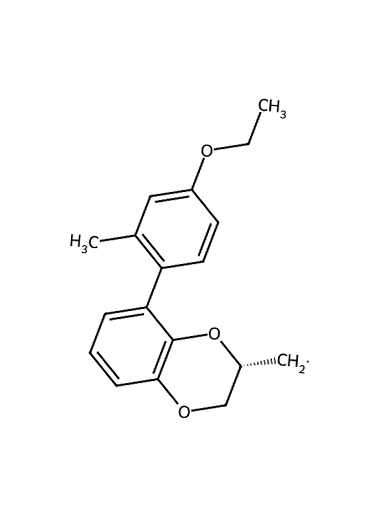 [CH2][C@@H]1COc2cccc(-c3ccc(OCC)cc3C)c2O1